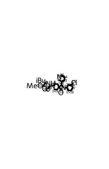 CCC(C)C(NC(=O)N1CCC2(CC1)C(=O)N(c1cccc(Cl)c1)C2c1cccnc1)C(=O)OC